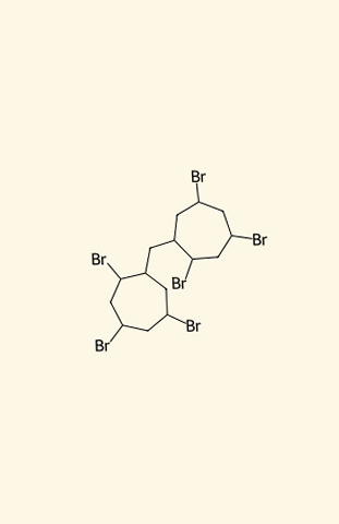 BrC1CC(Br)CC(CC2CC(Br)CC(Br)CC2Br)C(Br)C1